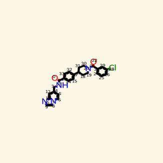 O=C(NCc1ccn2ccnc2c1)c1ccc(C2CCN(C(=O)c3cccc(Cl)c3)CC2)cc1